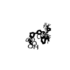 O=C(O)CS(=O)(=O)c1cccc(-c2ccc(CN(Cc3ccc(C(F)(F)F)o3)S(=O)(=O)c3c(Cl)cccc3C(F)(F)F)cc2)c1